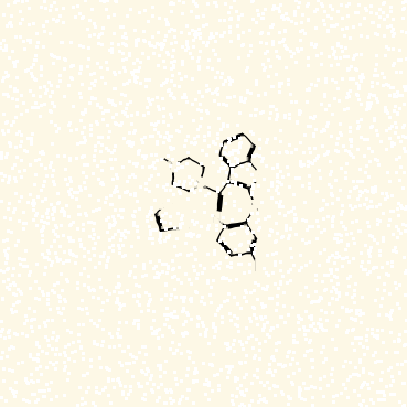 CN1CCN(C2=Nc3ccc(F)cc3Nc3sc4ccccc4c32)CC1.O=C(O)/C=C\C(=O)O